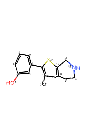 CCc1c(-c2cccc(O)c2)sc2c1CCNC2